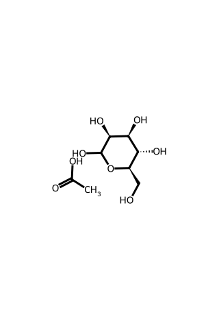 CC(=O)O.OC[C@H]1OC(O)[C@@H](O)[C@@H](O)[C@@H]1O